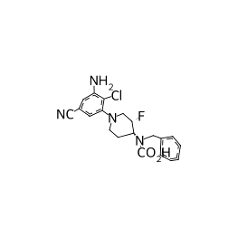 N#Cc1cc(N)c(Cl)c(N2CC[C@H](N(Cc3ccccc3)C(=O)O)[C@@H](F)C2)c1